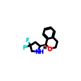 FC1(F)CNC([C@@H]2OCCc3ccccc32)C1